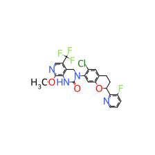 COc1ncc(C(F)(F)F)c2c1NC(=O)N(c1cc3c(cc1Cl)CCC(c1ncccc1F)O3)C2